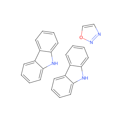 c1ccc2c(c1)[nH]c1ccccc12.c1ccc2c(c1)[nH]c1ccccc12.c1conn1